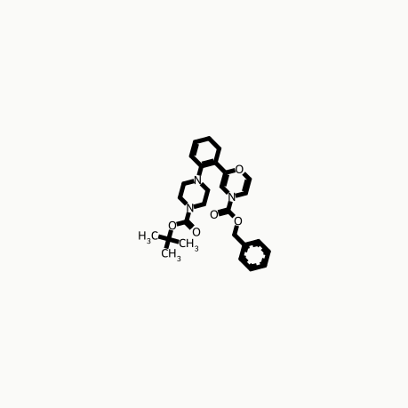 CC(C)(C)OC(=O)N1CCN(C2=C(C3=CN(C(=O)OCc4ccccc4)C=CO3)CCC=C2)CC1